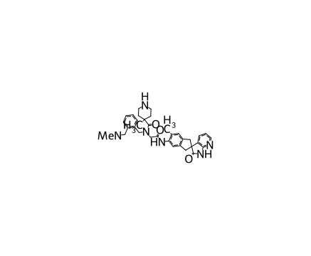 CNCc1ccccc1CN(CC(=O)Nc1cc2c(cc1C)CC1(C2)C(=O)Nc2ncccc21)C(=O)C1(C)CCNCC1